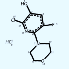 Cl.Oc1cc(F)c(N2CCOCC2)nc1Cl